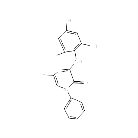 Cc1cc(C)c(Nc2nc(Cl)cn(-c3ccccc3)c2=O)c(C)c1